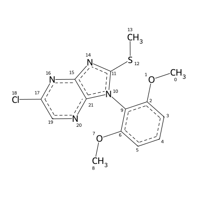 COc1cccc(OC)c1-n1c(SC)nc2nc(Cl)cnc21